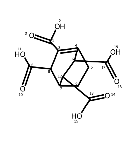 O=C(O)C1=C2CCC(C1C(=O)O)C(C(=O)O)C2C(=O)O